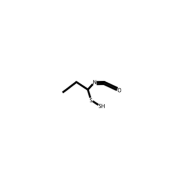 CCC(N=C=O)SS